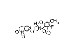 Cc1cc2c(c(C3CCCC3)c1F)C(=O)N1C[C@@H](Oc3cc4c(cn3)CCC(=O)N4)C[C@@H]1CO2